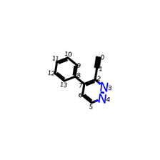 C#Cc1nnccc1-c1ccccc1